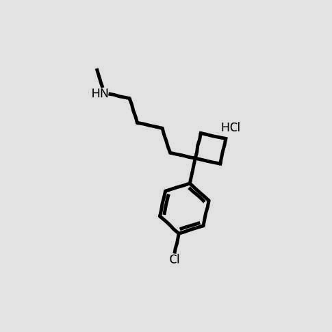 CNCCCCC1(c2ccc(Cl)cc2)CCC1.Cl